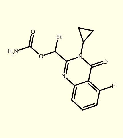 CCC(OC(N)=O)c1nc2cccc(F)c2c(=O)n1C1CC1